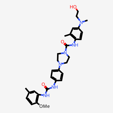 COc1ccc(C)cc1NC(=O)Nc1ccc(N2CCN(C(=O)Nc3ccc(N(C)CCO)cc3C)CC2)cc1